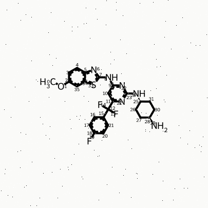 COc1ccc2nc(Nc3cc(C(F)(F)c4ccc(F)cc4)nc(N[C@H]4CC[C@H](N)CC4)n3)sc2c1